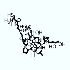 CC(C)C[C@H](NC(=O)[C@@H]1CCCN1C(=O)CCOCCOCCNC(=O)[C@@H](N)CS)C(=O)N[C@@H](Cc1cncn1CC[C@H](O)CO)C(=O)N[C@@H](CO)C(=O)N[C@H](C(N)=O)[C@@H](C)OP(=O)(O)O